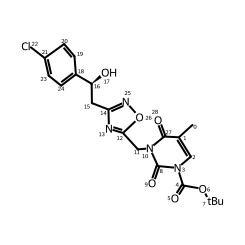 Cc1cn(C(=O)OC(C)(C)C)c(=O)n(Cc2nc(C[C@H](O)c3ccc(Cl)cc3)no2)c1=O